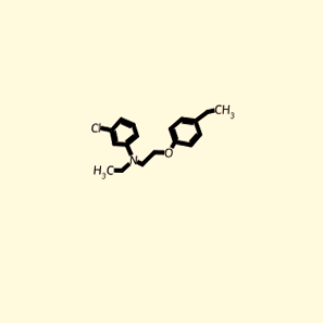 CCc1ccc(OCCN(CC)c2cccc(Cl)c2)cc1